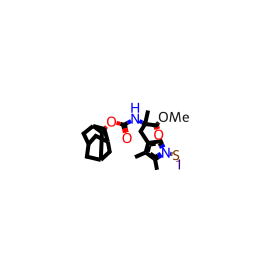 COC(=O)C(C)(Cc1cn(SI)c(C)c1C)NC(=O)OC1C2CC3CC(C2)CC1C3